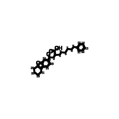 O=C(CC(CCCCCCc1ccccc1)C(=O)O)c1ccc2c3c(oc2c1)CCCC3